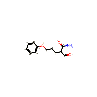 NC(=O)C(C=O)CCCOc1ccccc1